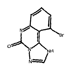 O=c1nc2cccc(Br)c2c2[nH]cnn12